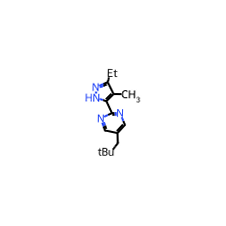 CCc1n[nH]c(-c2ncc(CC(C)(C)C)cn2)c1C